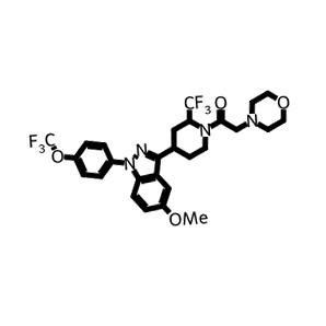 COc1ccc2c(c1)c(C1CCN(C(=O)CN3CCOCC3)C(C(F)(F)F)C1)nn2-c1ccc(OC(F)(F)F)cc1